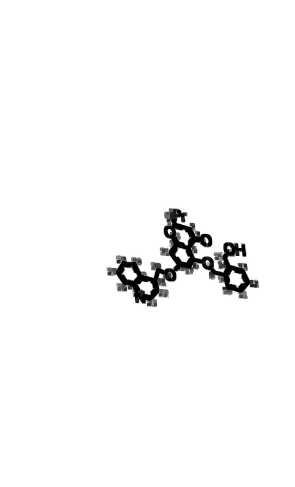 CC(C)c1cc(=O)c2c(OCc3ccccc3CO)cc(OCc3ccnc4ccccc34)cc2o1